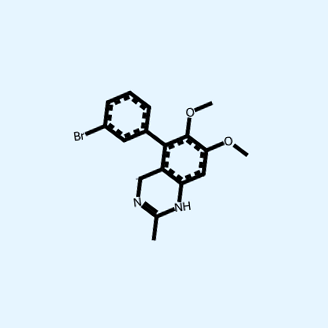 COc1cc2c(c(-c3cccc(Br)c3)c1OC)[CH]N=C(C)N2